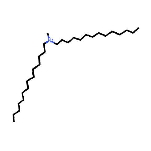 CCCCCCCCCCCCCC[N+](C)CCCCCCCCCCCCCC